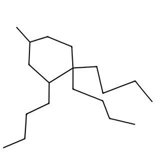 CCCCC1CC(C)CCC1(CCCC)CCCC